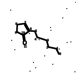 CCCCCCC1=CCCC1=O